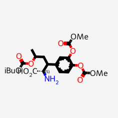 COC(=O)Oc1ccc(C(CC(C)OC(=O)OCC(C)C)[C@H](N)C(=O)O)cc1OC(=O)OC